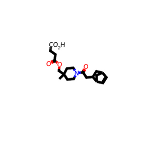 CC1(COC(=O)CCC(=O)O)CCN(C(=O)CC2CC3C=CC2C3)CC1